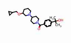 CC(C)(O)c1ccc(C(=O)N2CCC(N3CCCC(OCC4CC4)C3)CC2)cc1